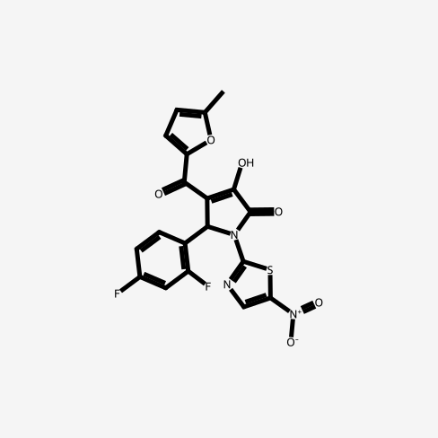 Cc1ccc(C(=O)C2=C(O)C(=O)N(c3ncc([N+](=O)[O-])s3)C2c2ccc(F)cc2F)o1